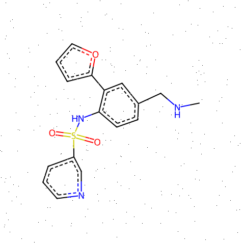 CNCc1ccc(NS(=O)(=O)c2cccnc2)c(-c2ccco2)c1